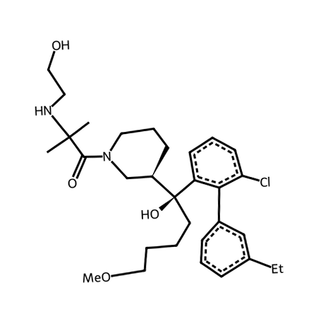 CCc1cccc(-c2c(Cl)cccc2[C@](O)(CCCCOC)[C@@H]2CCCN(C(=O)C(C)(C)NCCO)C2)c1